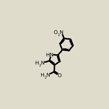 NC(=O)c1cc(-c2cccc([N+](=O)[O-])c2)[nH]c1N